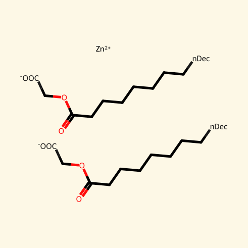 CCCCCCCCCCCCCCCCCC(=O)OCC(=O)[O-].CCCCCCCCCCCCCCCCCC(=O)OCC(=O)[O-].[Zn+2]